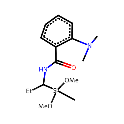 CCC(NC(=O)c1ccccc1N(C)C)[Si](C)(OC)OC